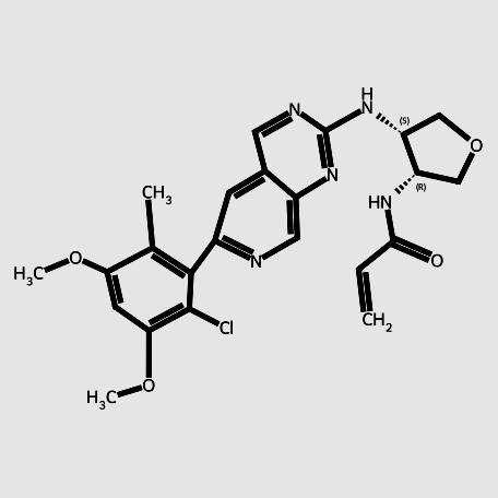 C=CC(=O)N[C@H]1COC[C@H]1Nc1ncc2cc(-c3c(C)c(OC)cc(OC)c3Cl)ncc2n1